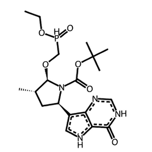 CCO[PH](=O)CO[C@@H]1[C@@H](C)C[C@H](c2c[nH]c3c(=O)[nH]cnc23)N1C(=O)OC(C)(C)C